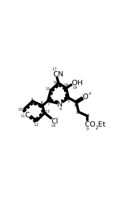 CCOC(=O)CCC(=O)c1nc(-c2ccccc2Cl)cc(C#N)c1O